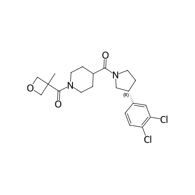 CC1(C(=O)N2CCC(C(=O)N3CC[C@H](c4ccc(Cl)c(Cl)c4)C3)CC2)COC1